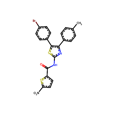 Cc1ccc(-c2nc(NC(=O)c3ccc([N+](=O)[O-])s3)sc2-c2ccc(Br)cc2)cc1